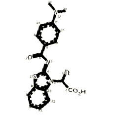 CCC(C(=O)O)n1/c(=N/C(=O)c2ccc(N(C)C)cc2)sc2ccccc21